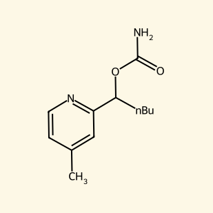 CCCCC(OC(N)=O)c1cc(C)ccn1